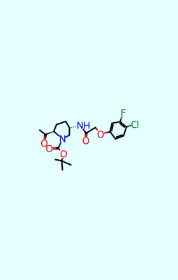 CC(=O)[C@H]1CC[C@H](NC(=O)COc2ccc(Cl)c(F)c2)CN1C(=O)OC(C)(C)C